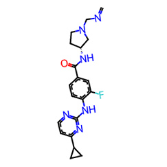 C=NCN1CC[C@@H](NC(=O)c2ccc(Nc3nccc(C4CC4)n3)c(F)c2)C1